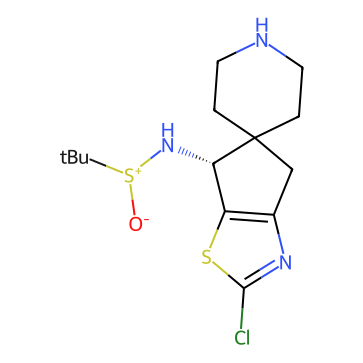 CC(C)(C)[S+]([O-])N[C@H]1c2sc(Cl)nc2CC12CCNCC2